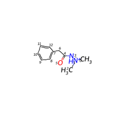 C[N+](C)NC(=O)Cc1ccccc1